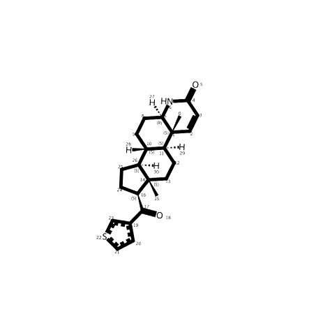 C[C@]12C=CC(=O)N[C@@H]1CC[C@@H]1[C@@H]2CC[C@]2(C)[C@@H](C(=O)c3ccsc3)CC[C@@H]12